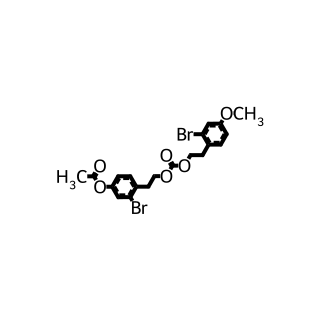 COc1ccc(CCOC(=O)OCCc2ccc(OC(C)=O)cc2Br)c(Br)c1